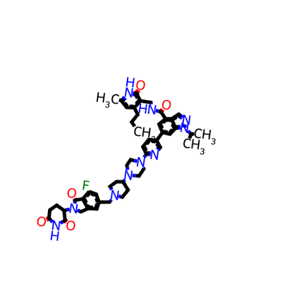 CCCc1cc(C)[nH]c(=O)c1CNC(=O)c1cc(-c2ccc(N3CCN(C4CCN(Cc5cc(F)c6c(c5)CN(C5CCC(=O)NC5=O)C6=O)CC4)CC3)nc2)cc2c1cnn2C(C)C